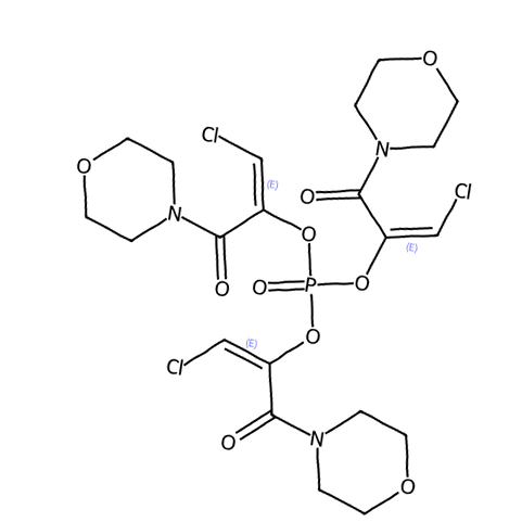 O=C(/C(=C\Cl)OP(=O)(O/C(=C/Cl)C(=O)N1CCOCC1)O/C(=C/Cl)C(=O)N1CCOCC1)N1CCOCC1